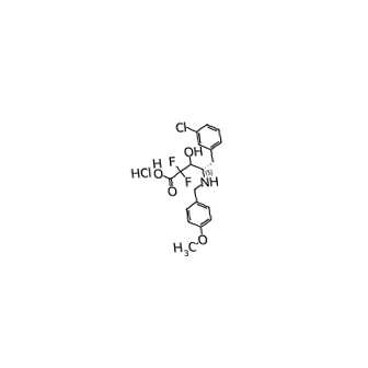 COc1ccc(CN[C@@H](Cc2cccc(Cl)c2)C(O)C(F)(F)C(=O)O)cc1.Cl